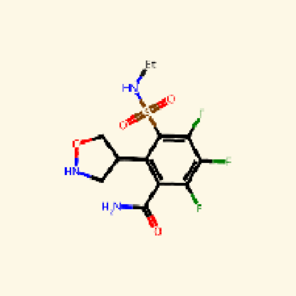 CCNS(=O)(=O)c1c(F)c(F)c(F)c(C(N)=O)c1C1CNOC1